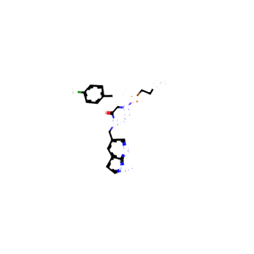 CCCS(=O)(=O)N[C@@H](Cc1ccc(F)cc1)C(=O)NCc1cnc2[nH]ccc2c1